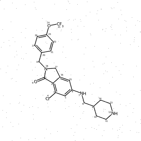 O=C1c2c(Cl)cc(NCC3CCNCC3)cc2CN1Cc1ccc(OC(F)(F)F)cc1